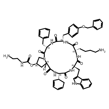 NCCCC[C@@H]1NC(=O)[C@@H](Cc2c[nH]c3ccccc23)NC(=O)[C@H](C2C=CC=CC2)NC(=O)[C@@H]2C[C@@H](OC(=O)NCCN)CN2C(=O)[C@H](Cc2ccccc2)NC(=O)[C@H](Cc2ccc(OCc3ccccc3)cc2)NC1=O